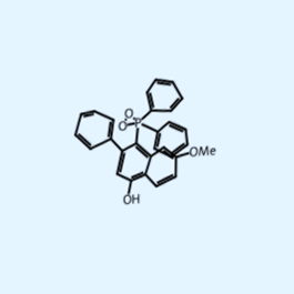 COc1ccc2c(O)cc(-c3ccccc3)c(P3(c4ccccc4)(c4ccccc4)OO3)c2c1